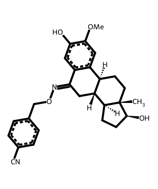 COc1cc2c(cc1O)/C(=N/OCc1ccc(C#N)cc1)C[C@@H]1[C@@H]2CC[C@]2(C)[C@@H](O)CC[C@@H]12